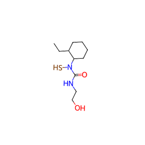 CCC1CCCCC1N(S)C(=O)NCCO